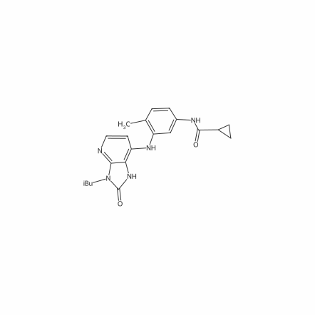 CCC(C)n1c(=O)[nH]c2c(Nc3cc(NC(=O)C4CC4)ccc3C)ccnc21